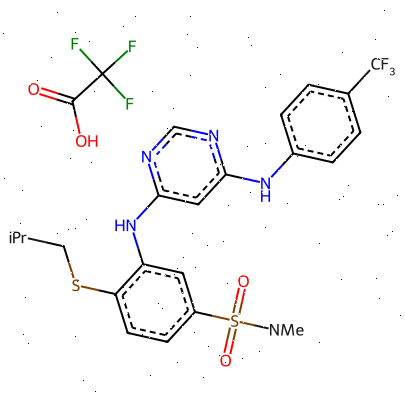 CNS(=O)(=O)c1ccc(SCC(C)C)c(Nc2cc(Nc3ccc(C(F)(F)F)cc3)ncn2)c1.O=C(O)C(F)(F)F